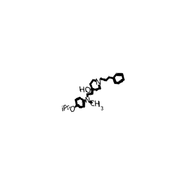 CC(C)Oc1ccc(N(C)CCC2(O)CCN(CCCc3ccccc3)CC2)cc1